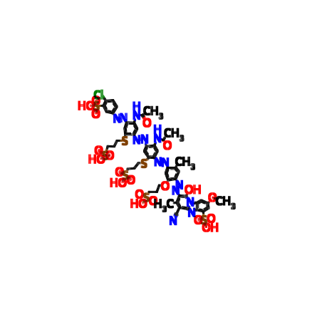 COc1cc(S(=O)(=O)O)c2nc3c(C#N)c(C)c(N=Nc4cc(C)c(N=Nc5cc(NC(C)=O)c(N=Nc6cc(NC(C)=O)c(N=Nc7ccc(Cl)c(S(=O)(=O)O)c7)cc6SCCCS(=O)(=O)O)cc5SCCCS(=O)(=O)O)cc4OCCCS(=O)(=O)O)c(O)n3c2c1